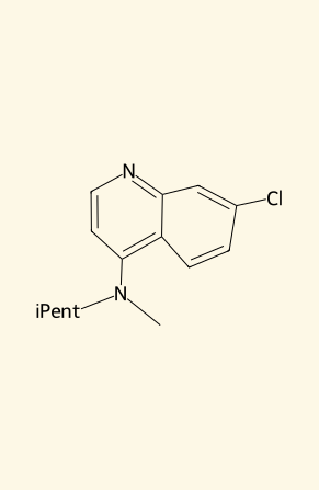 C[CH]CC(C)N(C)c1ccnc2cc(Cl)ccc12